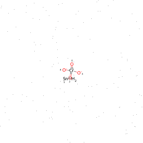 [O]=[Cr](=[O])([O-])[O-].[SnH2+2]